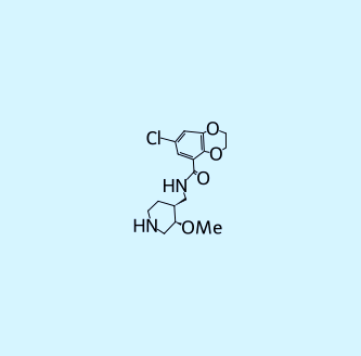 CO[C@H]1CNCC[C@H]1CNC(=O)c1cc(Cl)cc2c1OCCO2